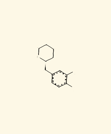 Clc1ccc([CH][C@@H]2CCCCN2)cc1Cl